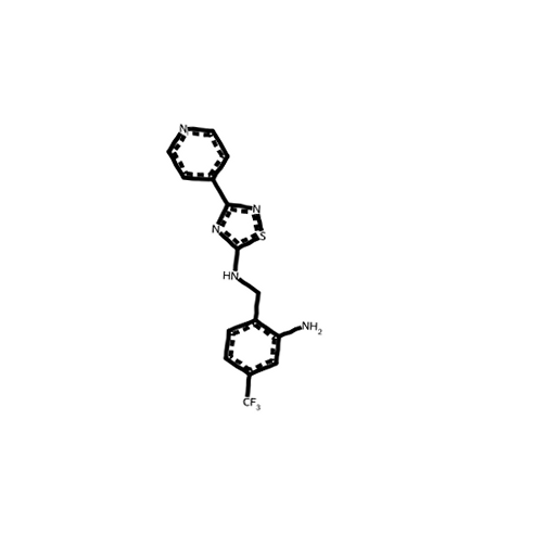 Nc1cc(C(F)(F)F)ccc1CNc1nc(-c2ccncc2)ns1